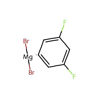 Fc1c[c]cc(F)c1.[Br][Mg][Br]